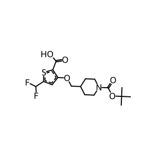 CC(C)(C)OC(=O)N1CCC(COc2cc(C(F)F)sc2C(=O)O)CC1